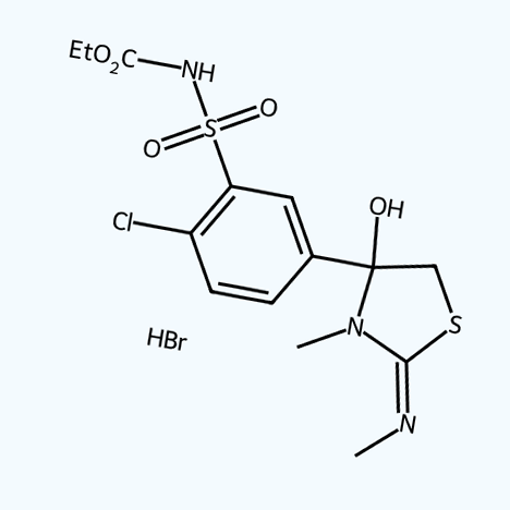 Br.CCOC(=O)NS(=O)(=O)c1cc(C2(O)CSC(=NC)N2C)ccc1Cl